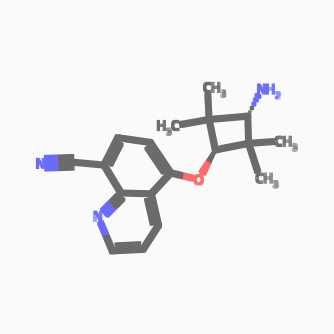 CC1(C)[C@H](N)C(C)(C)[C@H]1Oc1ccc(C#N)c2ncccc12